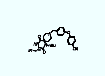 CCCCN1C(=O)[C@H](CC(C)C)NC(=O)C12CCN(Cc1ccc(Oc3ccc(C#N)cc3)cc1)CC2